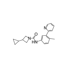 Cc1ccc(NC(=O)N2CC(C3CC3)C2)cc1-c1ccccn1